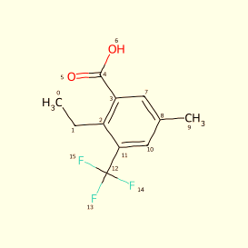 CCc1c(C(=O)O)cc(C)cc1C(F)(F)F